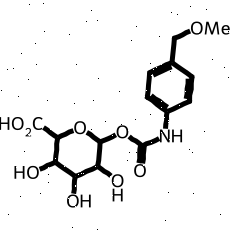 COCc1ccc(NC(=O)OC2OC(C(=O)O)C(O)C(O)C2O)cc1